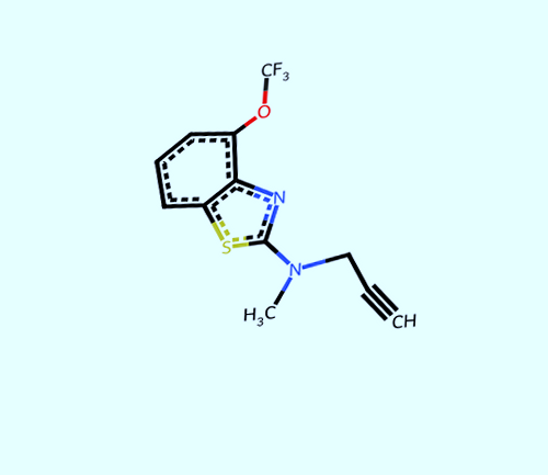 C#CCN(C)c1nc2c(OC(F)(F)F)cccc2s1